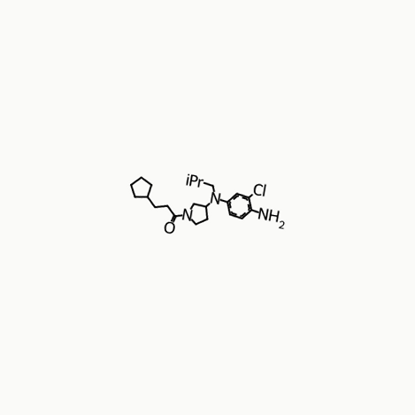 CC(C)CN(c1ccc(N)c(Cl)c1)C1CCN(C(=O)CCC2CCCC2)C1